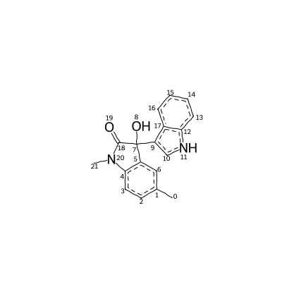 Cc1ccc2c(c1)C(O)(c1c[nH]c3ccccc13)C(=O)N2C